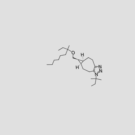 CCCCCCC(C)(CC)OC[C@@H]1[C@@H]2CCc3c(nnn3C(C)(C)CC)CC[C@@H]21